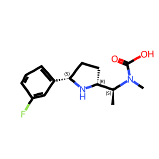 C[C@@H]([C@H]1CC[C@@H](c2cccc(F)c2)N1)N(C)C(=O)O